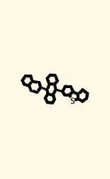 c1ccc2cc(-c3c4ccccc4c(-c4ccc5c(c4)sc4ccccc45)c4ccccc34)ccc2c1